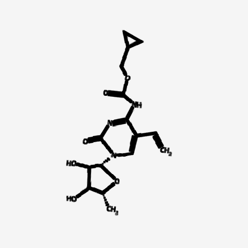 C=Cc1cn([C@@H]2O[C@H](C)C(O)C2O)c(=O)nc1NC(=O)OCC1CC1